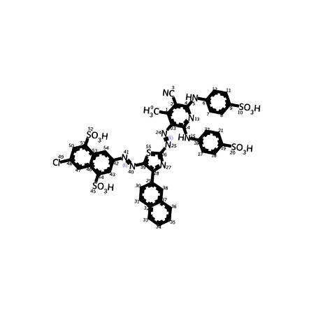 Cc1c(C#N)c(Nc2ccc(S(=O)(=O)O)cc2)nc(Nc2ccc(S(=O)(=O)O)cc2)c1/N=N/c1nc(-c2ccc3ccccc3c2)c(/N=N/c2cc(S(=O)(=O)O)c3cc(Cl)cc(S(=O)(=O)O)c3c2)s1